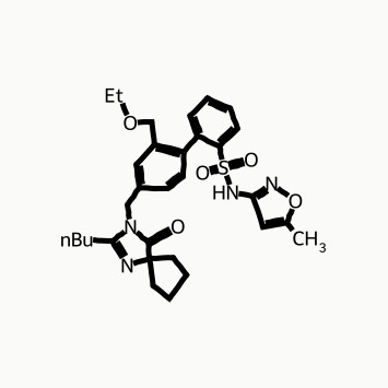 CCCCC1=NC2(CCCC2)C(=O)N1Cc1ccc(-c2ccccc2S(=O)(=O)Nc2cc(C)on2)c(COCC)c1